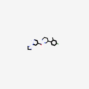 Cc1cc(Cl)ccc1C1CCCN(C(=O)c2ccnc(N3CCC3)c2)C1